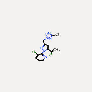 C=C(Cl)c1cc(Cn2nnc(C(F)(F)F)n2)nn1-c1ncccc1Cl